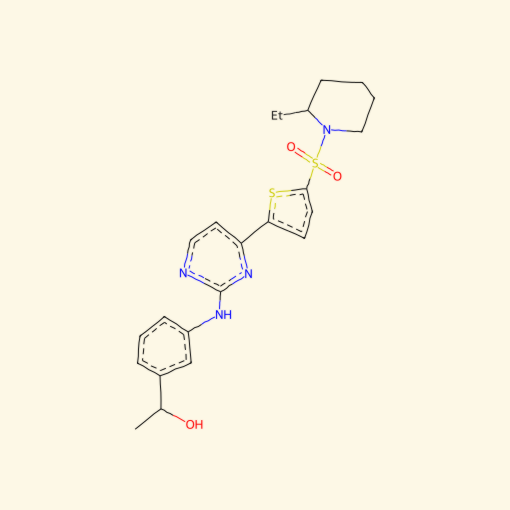 CCC1CCCCN1S(=O)(=O)c1ccc(-c2ccnc(Nc3cccc(C(C)O)c3)n2)s1